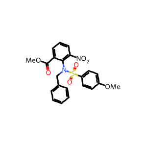 COC(=O)c1cccc([N+](=O)[O-])c1N(Cc1ccccc1)S(=O)(=O)c1ccc(OC)cc1